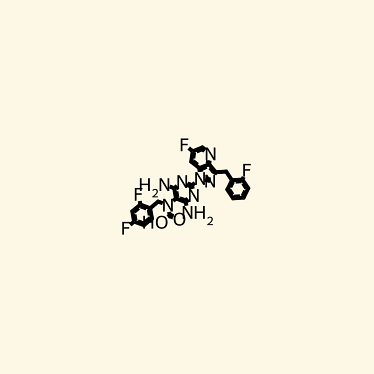 Nc1nc(-n2nc(Cc3ccccc3F)c3ncc(F)cc32)nc(N)c1N(Cc1ccc(F)cc1F)C(=O)O